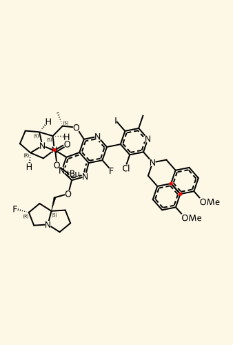 COc1ccc(CN(Cc2ccc(OC)cc2)c2nc(C)c(I)c(-c3nc4c5c(nc(OC[C@@]67CCCN6C[C@H](F)C7)nc5c3F)N3C[C@H]5CC[C@@H]([C@H]3[C@H](C)O4)N5C(=O)OC(C)(C)C)c2Cl)cc1